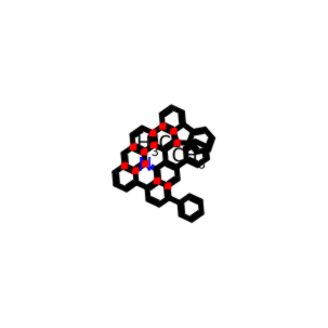 CC1(C)c2ccccc2-c2cccc(-c3cccc(N(c4ccccc4-c4ccc(-c5ccccc5)cc4)c4cccc(-c5ccccc5)c4-c4ccccc4-c4ccccc4)c3)c21